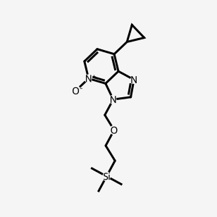 C[Si](C)(C)CCOCn1cnc2c(C3CC3)cc[n+]([O-])c21